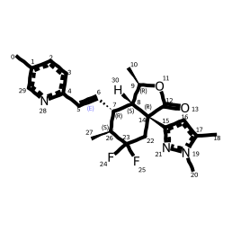 Cc1ccc(/C=C/[C@@H]2[C@@H]3[C@@H](C)OC(=O)[C@]3(c3cc(C)n(C)n3)CC(F)(F)[C@H]2C)nc1